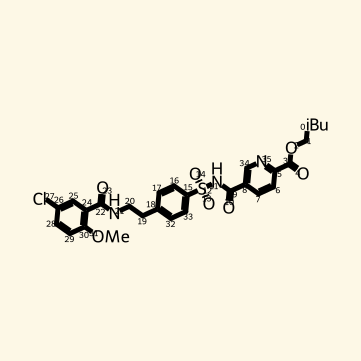 CCC(C)COC(=O)c1ccc(C(=O)NS(=O)(=O)c2ccc(CCNC(=O)c3cc(Cl)ccc3OC)cc2)cn1